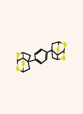 c1cc(C23CC4SC(C2)SC(C3)S4)ccc1C12CC3SC(C1)SC(C2)S3